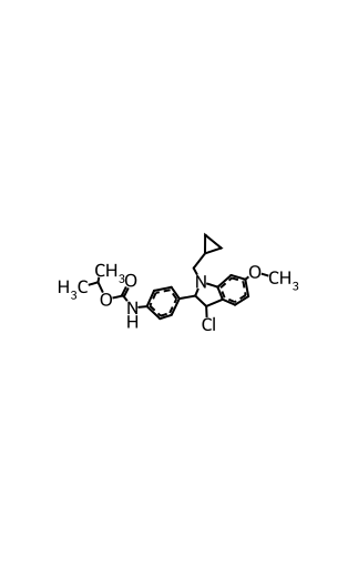 COc1ccc2c(c1)N(CC1CC1)C(c1ccc(NC(=O)OC(C)C)cc1)C2Cl